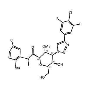 CO[C@@H]1[C@@H](n2cc(-c3cc(F)c(Cl)c(F)c3)nn2)[C@@H](O)[C@@H](CO)O[C@H]1C(=O)N(C)c1cc(Cl)ccc1C(C)(C)C